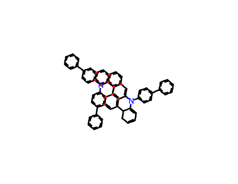 C1=CCC(C2=CC(c3ccccc3N(c3ccc(-c4ccccc4)cc3)c3ccc(-c4ccccc4)cc3)CC=C2)C(N(C2=CCC(c3ccccc3)C=C2)c2ccc(-c3ccccc3)cc2)=C1